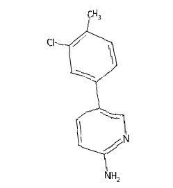 Cc1ccc(-c2ccc(N)nc2)cc1Cl